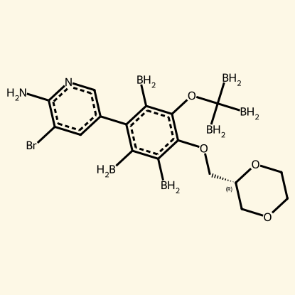 Bc1c(B)c(-c2cnc(N)c(Br)c2)c(B)c(OC(B)(B)B)c1OC[C@H]1COCCO1